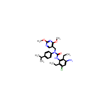 CCc1c(N)cc(Cl)c(CC)c1NC(=O)N(Cc1cnc(OC)nc1OC)c1ccc(C(C)C)cc1